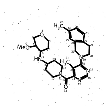 COC1COCCC1NC1CCN(C(=O)c2ncnc(N3CCc4ccc(C)cc4C3)c2C)CC1